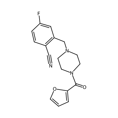 N#Cc1ccc(F)cc1CN1CCN(C(=O)c2ccco2)CC1